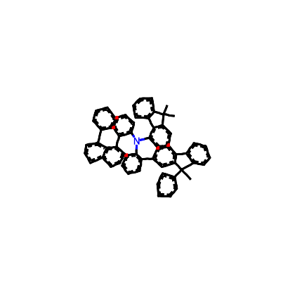 CC1(C)c2ccccc2-c2c(N(c3ccccc3-c3ccc4c(c3)C(C)(c3ccccc3)c3ccccc3-4)c3ccccc3-c3cccc4cccc(-c5ccccc5)c34)cccc21